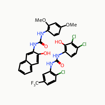 COc1ccc(NC(=O)Nc2cc3ccccc3cc2O)c(OC)c1.O=C(Nc1cc(C(F)(F)F)ccc1Cl)Nc1ccc(Cl)c(Cl)c1O